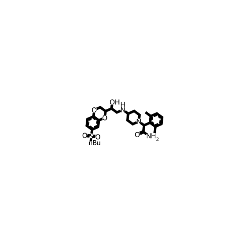 CCCCS(=O)(=O)c1ccc2c(c1)OC(C(O)CNC1CCN(C(C(N)=O)c3c(C)cccc3C)CC1)CO2